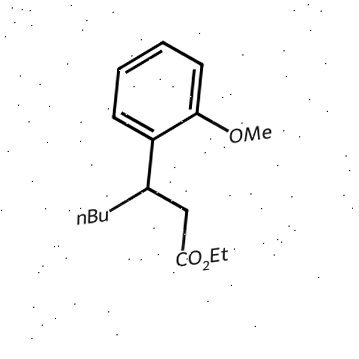 CCCCC(CC(=O)OCC)c1ccccc1OC